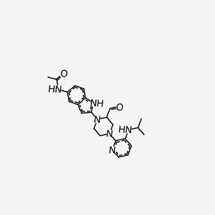 CC(=O)Nc1ccc2[nH]c(N3CCN(c4ncccc4NC(C)C)CC3C=O)cc2c1